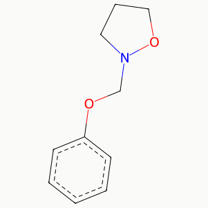 c1ccc(OCN2CCCO2)cc1